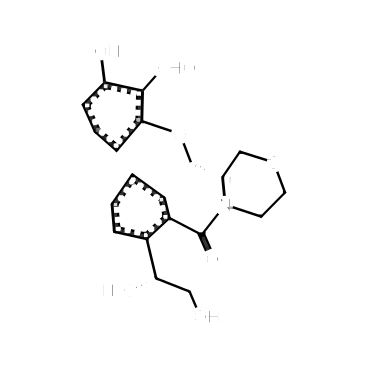 C[C@@H](CO)c1ccccc1C(=O)N1CCSC[C@H]1COc1cccc(O)c1C=O